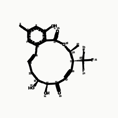 Cc1cc(O)c2c(c1)/C=C/C[C@H](O)[C@H](O)C(=O)/C=C\[C@@H](C(F)(F)F)[C@H](C)OC2=O